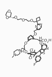 Cc1c(Cl)c2c(Cl)c(C)c1-c1c(-c3ccc(F)cc3)sc3ncnc(c13)O[C@@H](C(=O)O)Cc1cc(ccc1OCc1ccnc(C3(COCCOCCOC[C@H]4COCCO4)CCC3)n1)OC[C@@H](CN1CCN(C)CC1)O2